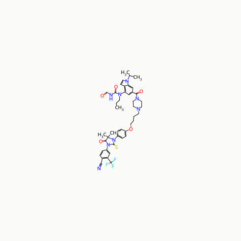 CCCN(C(=O)NC=O)c1cc(C(=O)N2CCN(CCCCOc3ccc(N4C(=S)N(c5ccc(C#N)c(C(F)(F)F)c5)C(=O)C4(C)C)cc3)CC2)cc2c1ccn2C(C)C